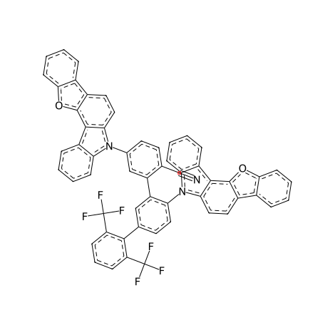 N#Cc1ccc(-n2c3ccccc3c3c4oc5ccccc5c4ccc32)cc1-c1cc(-c2c(C(F)(F)F)cccc2C(F)(F)F)ccc1-n1c2ccccc2c2c3oc4ccccc4c3ccc21